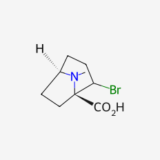 CN1[C@@H]2CCC(Br)[C@]1(C(=O)O)CC2